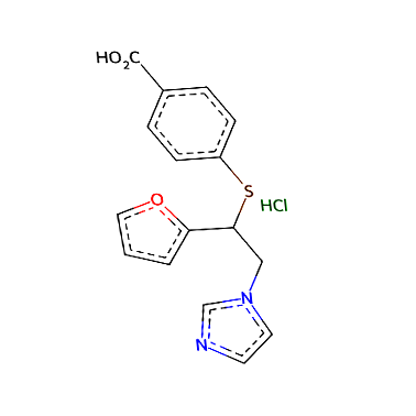 Cl.O=C(O)c1ccc(SC(Cn2ccnc2)c2ccco2)cc1